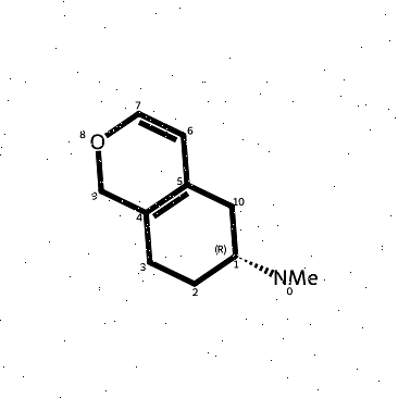 CN[C@@H]1CCC2=C(C=COC2)C1